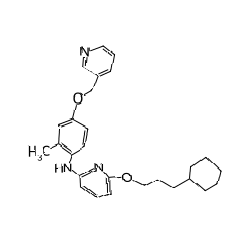 Cc1cc(OCc2cccnc2)ccc1Nc1cccc(OCCCC2CCCCC2)n1